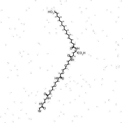 O=C(CBr)NCCNC(=O)COCCOCCNC(=O)COCCOCCNC(=O)CC[C@H](NC(=O)CCCCCCCCCCCCCCCS(=O)(=O)O)C(=O)O